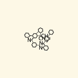 CC1(C)c2ccccc2-c2cc3c(cc21)c(-c1cccc(-c2nc(-c4ccc(-c5ccccc5)cc4)c4ccccc4n2)c1)nc1ccccc13